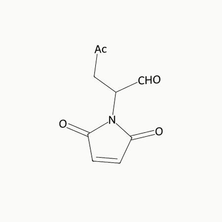 CC(=O)CC(C=O)N1C(=O)C=CC1=O